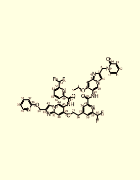 CCOc1cc2nc(Cn3ccccc3=O)cn2cc1NC(=O)c1cc(CCOc2cc3nc(COc4ccccn4)cn3cc2NC(=O)c2cccc(C(F)F)n2)cc(C(F)F)n1